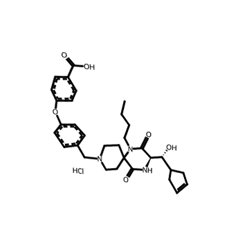 CCCCN1C(=O)[C@@H]([C@H](O)C2CC=CC2)NC(=O)C12CCN(Cc1ccc(Oc3ccc(C(=O)O)cc3)cc1)CC2.Cl